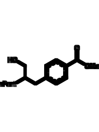 CCCCCC(CO)Cc1ccc(C(=O)OC)cc1